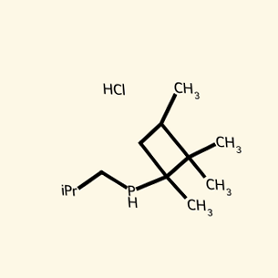 CC(C)CPC1(C)CC(C)C1(C)C.Cl